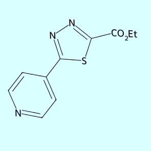 CCOC(=O)c1nnc(-c2ccncc2)s1